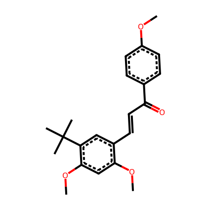 COc1ccc(C(=O)C=Cc2cc(C(C)(C)C)c(OC)cc2OC)cc1